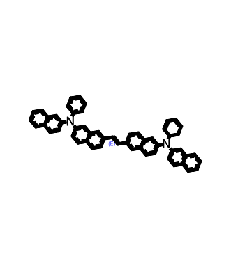 C1=CCC(N(c2ccc3ccccc3c2)c2ccc3cc(/C=C/c4ccc5ccc(N(c6ccccc6)c6ccc7ccccc7c6)cc5c4)ccc3c2)C=C1